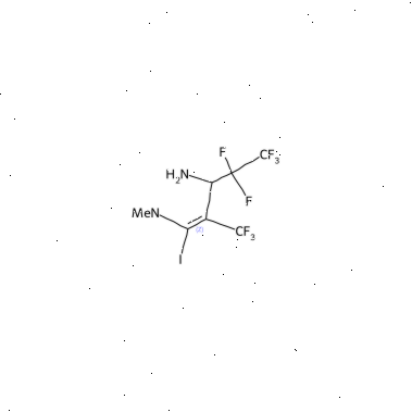 CN/C(I)=C(\C(N)C(F)(F)C(F)(F)F)C(F)(F)F